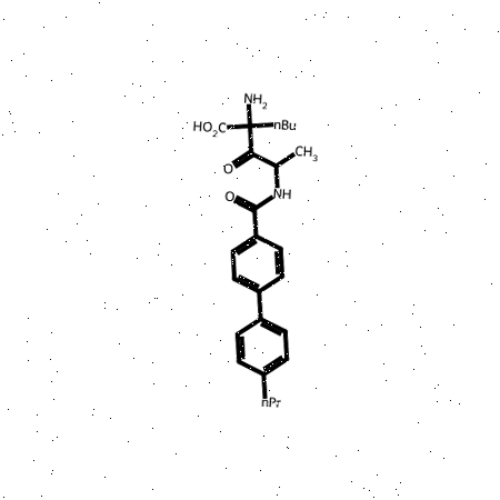 CCCCC(N)(C(=O)O)C(=O)C(C)NC(=O)c1ccc(-c2ccc(CCC)cc2)cc1